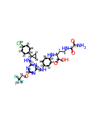 NC(=O)C(=O)NCCC(Nc1ccc(Nc2nc(NC3(c4ccc(Cl)cc4)CC3)nc(OCC(F)(F)F)n2)cc1)C(=O)O